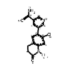 CN1C(=O)CCc2cc(-c3cncc(C(N)=O)c3)c(Cl)cc21